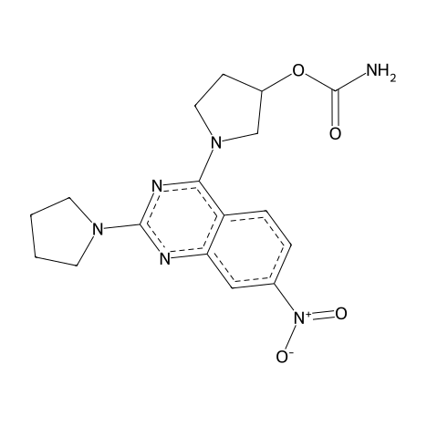 NC(=O)OC1CCN(c2nc(N3CCCC3)nc3cc([N+](=O)[O-])ccc23)C1